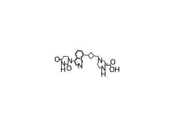 O=C1CCN(c2cncc3c(C4CC(CN5CCN[C@H](C(=O)O)C5)C4)cccc23)C(=O)N1